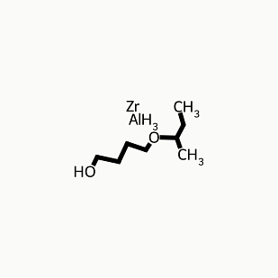 CCC(C)OCCCCO.[AlH3].[Zr]